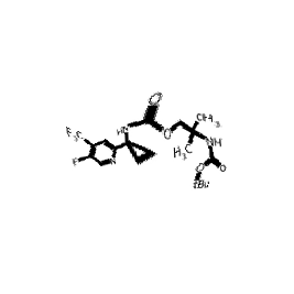 CC(C)(COC(=O)NC1(c2cc(C(F)(F)F)c(F)cn2)CC1)NC(=O)OC(C)(C)C